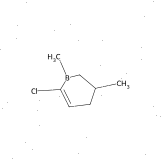 CB1CC(C)CC=C1Cl